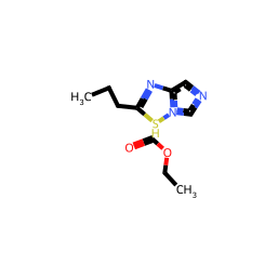 CCCC1=Nc2cncn2[SH]1C(=O)OCC